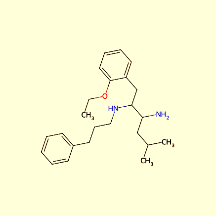 CCOc1ccccc1CC(NCCCc1ccccc1)C(N)CC(C)C